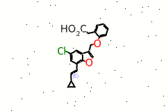 O=C(O)Cc1ccccc1OCc1coc2c(/C=C/C3CC3)cc(Cl)cc12